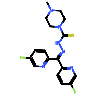 CN1CCN(C(=S)NN=C(c2ccc(F)cn2)c2ccc(F)cn2)CC1